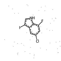 Fc1cc(Cl)cc2c(I)c[nH]c12